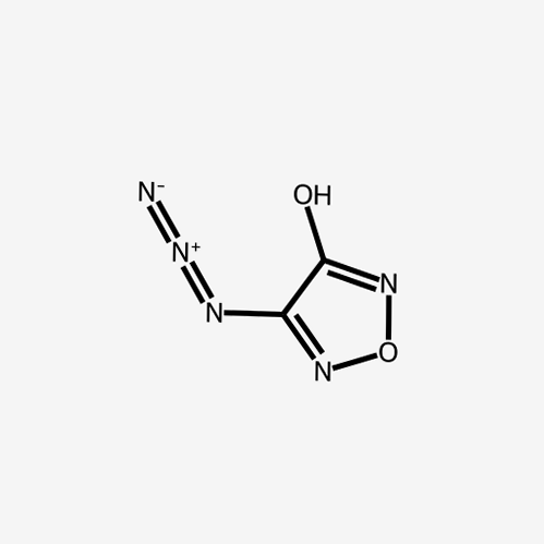 [N-]=[N+]=Nc1nonc1O